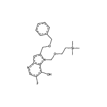 C[Si](C)(C)CCOCn1c(COCc2ccccc2)cc2ncc(F)c(O)c21